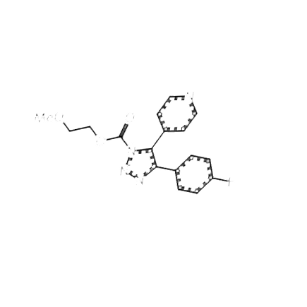 COCCOC(=O)n1nnc(-c2ccc(F)cc2)c1-c1ccncc1